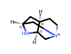 C1C[N@@]2C[C@@H]3C[C@@H]1[C@@H](C2)N3